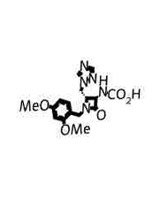 COc1ccc(CN2C(=O)[C@@H](NC(=O)O)[C@H]2Cn2cncn2)c(OC)c1